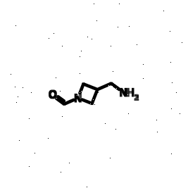 NCC1CN(C=O)C1